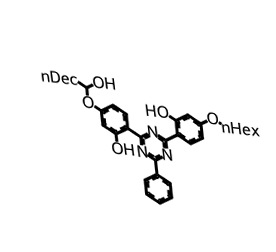 CCCCCCCCCCC(O)Oc1ccc(-c2nc(-c3ccccc3)nc(-c3ccc(OCCCCCC)cc3O)n2)c(O)c1